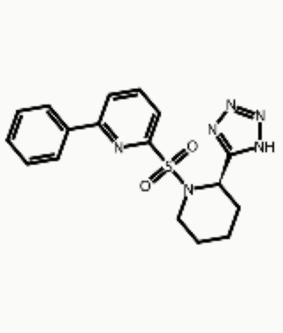 O=S(=O)(c1cccc(-c2ccccc2)n1)N1CCCC[C@@H]1c1nnn[nH]1